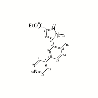 CCOC(=O)c1cc(-c2cc(-c3ccncc3)ccc2C)n(C)n1